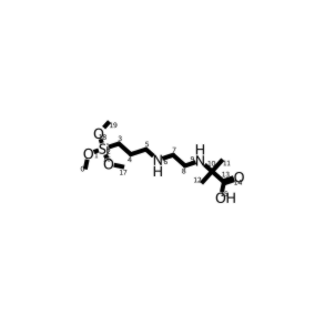 CO[Si](CCCNCCNC(C)(C)C(=O)O)(OC)OC